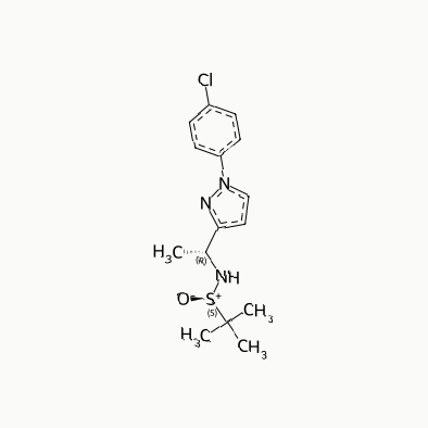 C[C@@H](N[S@+]([O-])C(C)(C)C)c1ccn(-c2ccc(Cl)cc2)n1